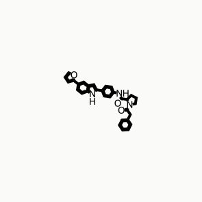 O=C(Nc1ccc(-c2cc3cc(-c4ccco4)ccc3[nH]2)cc1)C1CCCN1C(=O)Cc1ccccc1